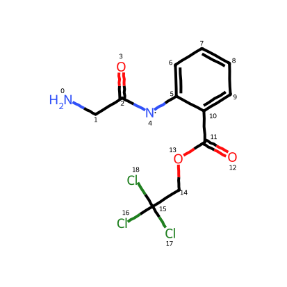 NCC(=O)[N]c1ccccc1C(=O)OCC(Cl)(Cl)Cl